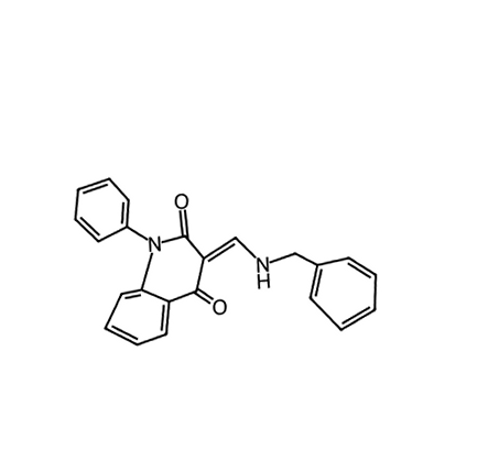 O=C1/C(=C\NCc2ccccc2)C(=O)N(c2ccccc2)c2ccccc21